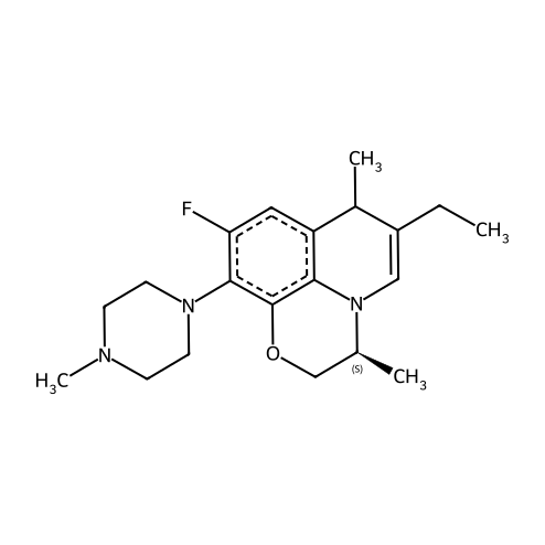 CCC1=CN2c3c(cc(F)c(N4CCN(C)CC4)c3OC[C@@H]2C)C1C